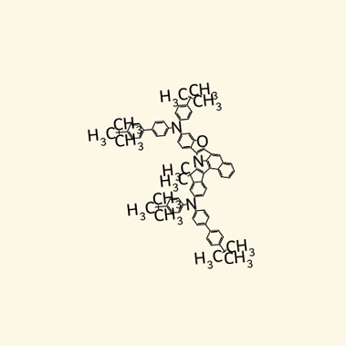 CC(C)(C)c1ccc(-c2ccc(N(c3ccc(C(C)(C)C)cc3)c3ccc4c(c3)C(C)(C)c3c-4c4c5ccccc5cc5c6oc7cc(N(c8ccc(-c9ccc(C(C)(C)C)cc9)cc8)c8ccc(C(C)(C)C)cc8)ccc7c6n3c54)cc2)cc1